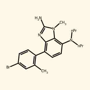 CCCN(CCC)c1ccc(-c2ccc(Br)cc2C)c2nc(N)n(C)c12